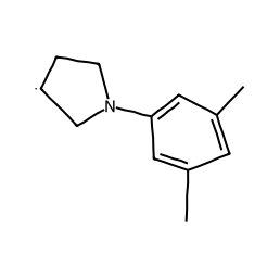 Cc1cc(C)cc(N2C[CH]CC2)c1